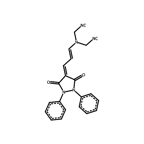 [C-]#[N+]CN(/C=C/C=C1C(=O)N(c2ccccc2)N(c2ccccc2)C1=O)C[N+]#[C-]